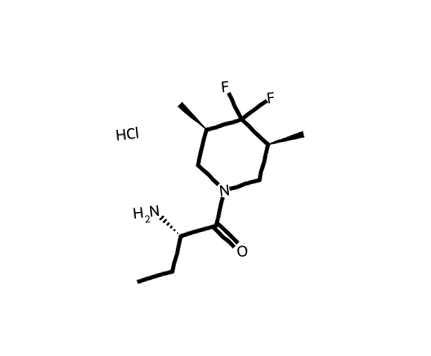 CC[C@H](N)C(=O)N1C[C@@H](C)C(F)(F)[C@@H](C)C1.Cl